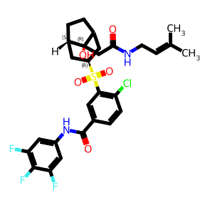 CC(C)=CCNC(=O)C[C@@]1(O)C2CC[C@H]1C[C@H](S(=O)(=O)c1cc(C(=O)Nc3cc(F)c(F)c(F)c3)ccc1Cl)C2